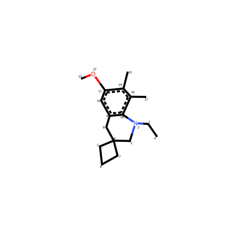 CCN1CC2(CCC2)Cc2cc(OC)c(C)c(C)c21